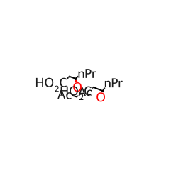 CC(=O)CC(C)=O.CCCC(=O)CC(=O)O.CCCC(=O)CC(=O)O